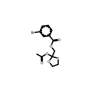 CC(=O)OC1(COC(=O)c2cccc(Br)c2)OCCS1